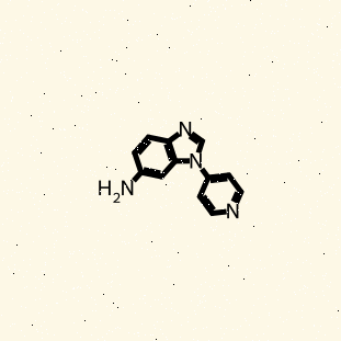 Nc1ccc2ncn(-c3ccncc3)c2c1